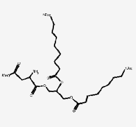 CCCCCCCCCCCCCCCCCC(=O)OCC(COC(=O)C(N)CC(=O)OC)OC(=O)CCCCCCCCCCCCCCCCC